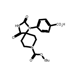 CC(C)(C)OC(=O)N1CCC2(CC1)C(=O)NC(=O)N2c1ccc(C(=O)O)cc1